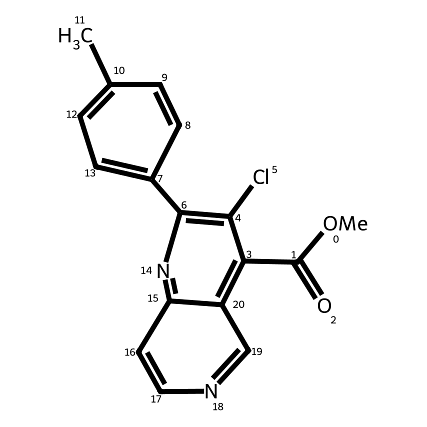 COC(=O)c1c(Cl)c(-c2ccc(C)cc2)nc2ccncc12